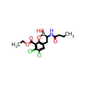 CCCC(=O)NC1Cc2cc(Cl)c(Cl)c(C(=O)OCC)c2OB1O